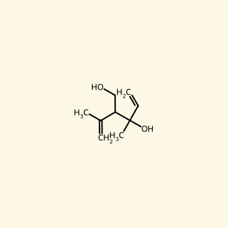 C=CC(C)(O)C(CO)C(=C)C